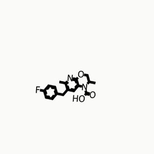 Cc1nc2c(cc1Cc1ccc(F)cc1)N(C(=O)O)C(C)CO2